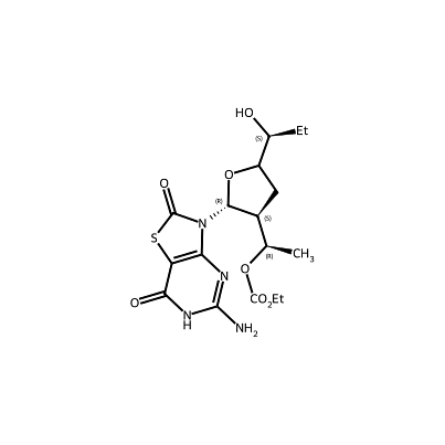 CCOC(=O)O[C@H](C)[C@@H]1CC([C@@H](O)CC)O[C@H]1n1c(=O)sc2c(=O)[nH]c(N)nc21